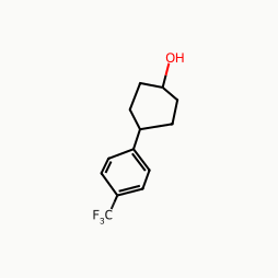 OC1CCC(c2ccc(C(F)(F)F)cc2)CC1